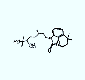 C[C@H](CCC(O)C(C)(C)O)CCn1c(=O)n2c3c(cccc31)C(C)(C)CC2